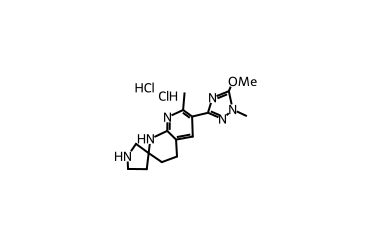 COc1nc(-c2cc3c(nc2C)NC2(CCNC2)CC3)nn1C.Cl.Cl